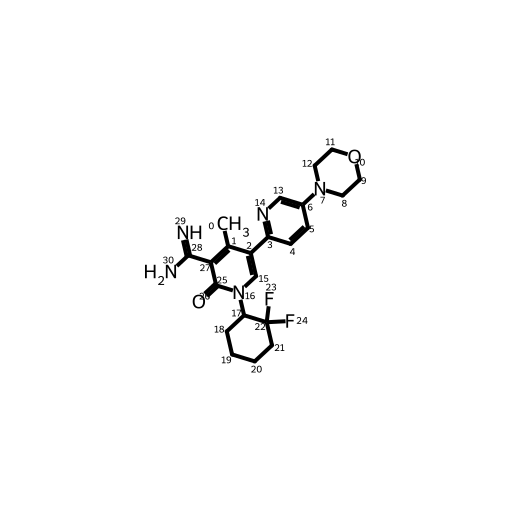 Cc1c(-c2ccc(N3CCOCC3)cn2)cn(C2CCCCC2(F)F)c(=O)c1C(=N)N